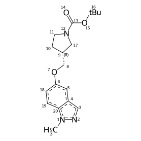 Cn1ncc2cc(OC[C@@H]3CCN(C(=O)OC(C)(C)C)C3)ccc21